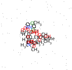 CCOC(=O)CCC(=O)O[C@H]1[C@H](O[C@@H]2[C@@H](C)[C@H](O[C@H]3C[C@@](C)(OC)[C@@H](O)[C@H](C)O3)[C@@H](C)C(=O)O[C@H](CC)[C@@](C)(O)[C@H](O)[C@@H](C)C(=O)[C@H](C)C[C@@]2(C)O)O[C@H](C)C[C@@H]1N(C)C.CCOCOC(=O)c1ccccc1Nc1c(Cl)ccc(C)c1Cl